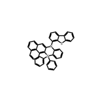 C1=Cc2cccc3cc4c(c(c23)C1)[Si](c1ccccc1)(c1ccccc1)c1ccccc1N4c1cccc2c1sc1ccccc12